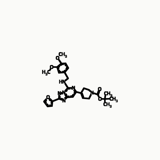 COc1ccc(CNc2nc(C3=CCN(C(=O)OC(C)(C)C)CC3)cc3nc(-c4ccco4)nn23)cc1OC